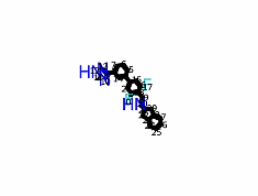 Fc1cc(-c2cccc(-c3nc[nH]n3)c2)cc(F)c1CNC1Cc2ccccc2C1